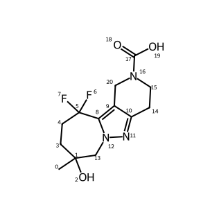 CC1(O)CCC(F)(F)c2c3c(nn2C1)CCN(C(=O)O)C3